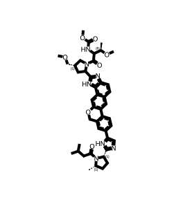 COC[C@H]1CC(c2nc3ccc4cc5c(cc4c3[nH]2)OCc2cc(-c3cnc([C@@H]4CC[C@H](C)N4C(=O)[CH]C(C)C)[nH]3)ccc2-5)N(C(=O)C(NC(=O)OC)[C@@H](C)OC)C1